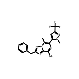 Cc1c(-c2cc(C(F)(F)F)nn2C)nc(N)c2nc(Cc3ccccc3)nn12